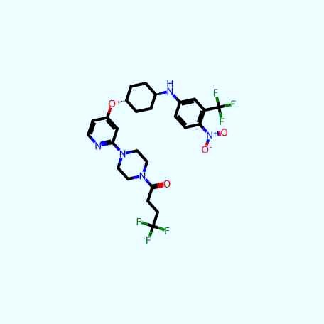 O=C(CCC(F)(F)F)N1CCN(c2cc(O[C@H]3CC[C@H](Nc4ccc([N+](=O)[O-])c(C(F)(F)F)c4)CC3)ccn2)CC1